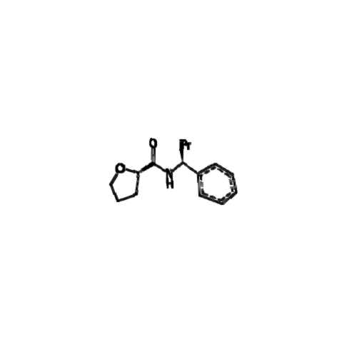 CC(C)[C@H](NC(=O)[C@H]1CCCO1)c1ccccc1